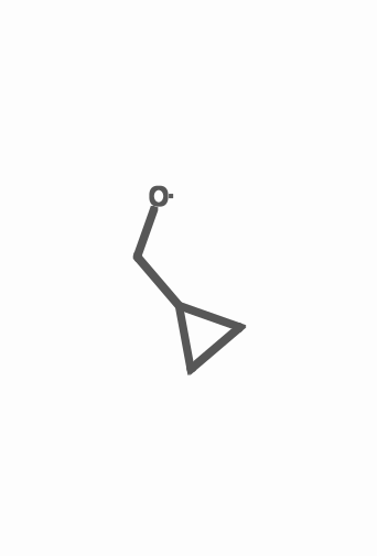 [O]CC1CC1